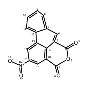 O=C1OC(=O)c2cc3ccccc3c3cc([N+](=O)[O-])cc1c23